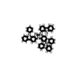 c1ccc(-n2c3ccccc3c3ccc4c(nc5n(-c6cccc7c6sc6ccccc67)c6ccc([Si](c7ccccc7)(c7ccccc7)c7ccccc7)cc6n45)c32)cc1